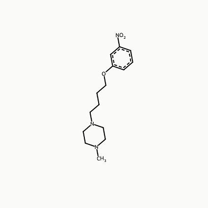 CN1CCN(CCCCOc2cccc([N+](=O)[O-])c2)CC1